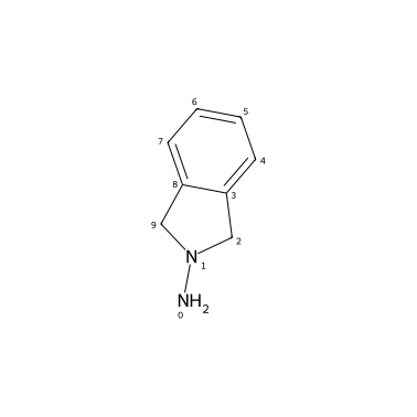 NN1Cc2ccccc2C1